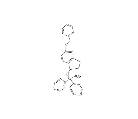 CC(C)(C)[Si](OC1CCc2cc(SCc3ccccc3)ccc21)(c1ccccc1)c1ccccc1